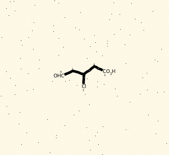 O=CCC(Cl)CC(=O)O